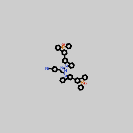 N#Cc1ccc(-c2cc(-n3c4ccccc4c4cc(-c5ccc6c(c5)-c5ccccc5P6(=O)c5ccccc5)ccc43)nc(-n3c4ccccc4c4cc(-c5ccc6c(c5)-c5ccccc5P6(=O)c5ccccc5)ccc43)n2)cc1